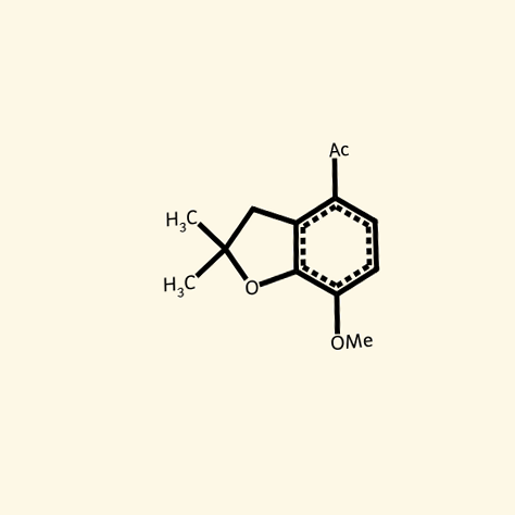 COc1ccc(C(C)=O)c2c1OC(C)(C)C2